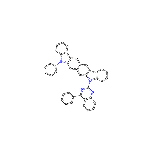 c1ccc(-c2nc(-n3c4ccccc4c4cc5cc6c7ccccc7n(-c7ccccc7)c6cc5cc43)nc3ccccc23)cc1